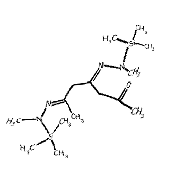 CC(=O)C/C(C/C(C)=N/N(C)[Si](C)(C)C)=N\N(C)[Si](C)(C)C